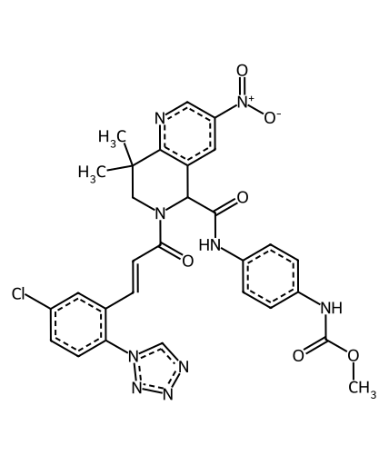 COC(=O)Nc1ccc(NC(=O)C2c3cc([N+](=O)[O-])cnc3C(C)(C)CN2C(=O)/C=C/c2cc(Cl)ccc2-n2cnnn2)cc1